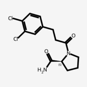 NC(=O)[C@@H]1CCCN1C(=O)CCc1ccc(Cl)c(Cl)c1